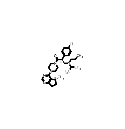 CCCN(C[C@@H](C(=O)N1CCN(c2ncnc3c2[C@H](C)CC3)CC1)c1ccc(Cl)cc1)C(C)C